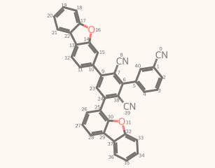 N#Cc1cccc(-c2c(C#N)c(-c3ccc4c(c3)oc3ccccc34)cc(-c3cccc4c3oc3ccccc34)c2C#N)c1